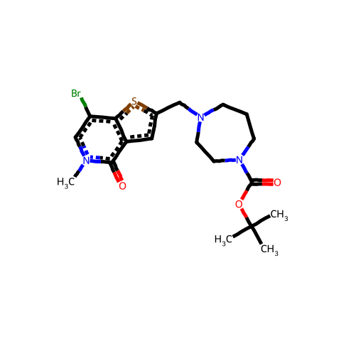 Cn1cc(Br)c2sc(CN3CCCN(C(=O)OC(C)(C)C)CC3)cc2c1=O